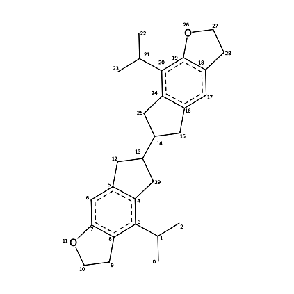 CC(C)c1c2c(cc3c1CCO3)CC(C1Cc3cc4c(c(C(C)C)c3C1)OCC4)C2